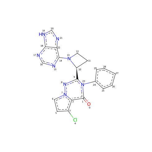 O=c1c2c(Cl)ccn2nc([C@@H]2CCN2c2ncnc3[nH]cnc23)n1-c1ccccc1